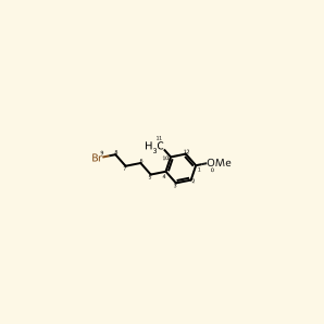 COc1ccc(CCCCBr)c(C)c1